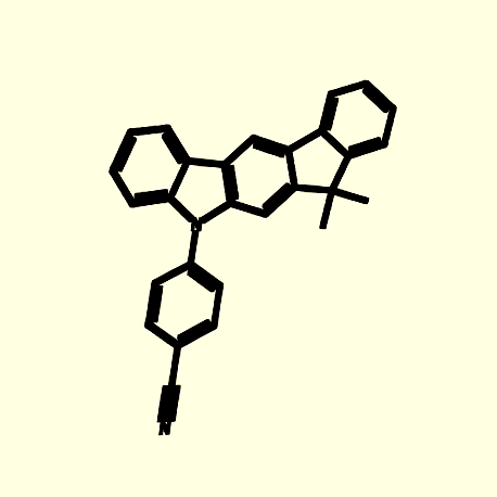 CC1(C)c2ccccc2-c2cc3c4ccccc4n(-c4ccc(C#N)cc4)c3cc21